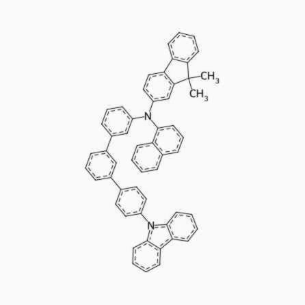 CC1(C)c2ccccc2-c2ccc(N(c3cccc(-c4cccc(-c5ccc(-n6c7ccccc7c7ccccc76)cc5)c4)c3)c3cccc4ccccc34)cc21